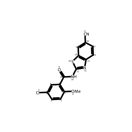 COc1ccc(Cl)cc1C(=O)Nc1nc2ccc(C#N)cc2s1